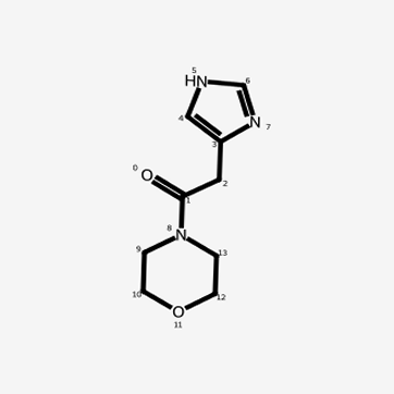 O=C(Cc1c[nH]cn1)N1CCOCC1